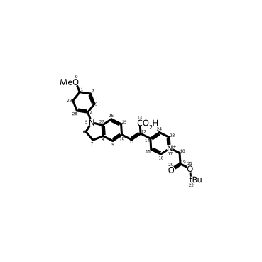 COC1C=CC(N2CCc3cc(/C=C(\C(=O)O)c4cc[n+](CC(=O)OC(C)(C)C)cc4)ccc32)=CC1